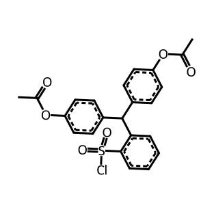 CC(=O)Oc1ccc(C(c2ccc(OC(C)=O)cc2)c2ccccc2S(=O)(=O)Cl)cc1